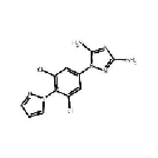 Nc1nc(N)n(-c2cc(Cl)c(-n3cccn3)c(Cl)c2)n1